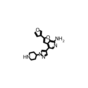 Nc1ncc(-c2cnn(C3CCNCC3)c2)c2cc(-c3ccoc3)oc12